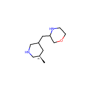 C[C@H]1CNCC(CC2COCCN2)C1